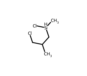 CC(CCl)C[SiH](C)Cl